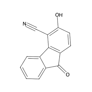 N#Cc1c(O)ccc2c1-c1ccccc1C2=O